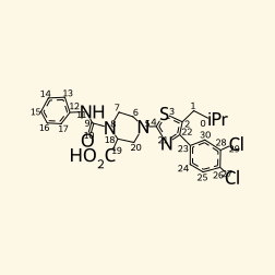 CC(C)Cc1sc(N2CCN(C(=O)Nc3ccccc3)C(C(=O)O)C2)nc1-c1ccc(Cl)c(Cl)c1